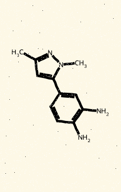 Cc1cc(-c2ccc(N)c(N)c2)n(C)n1